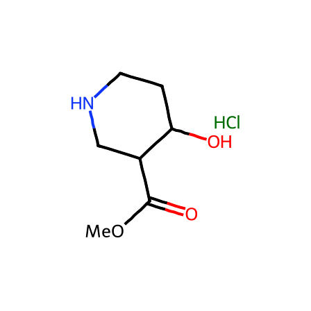 COC(=O)C1CNCCC1O.Cl